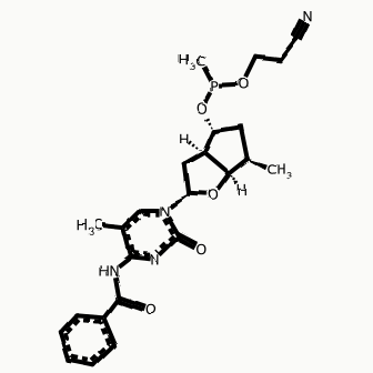 Cc1cn([C@H]2C[C@@H]3[C@H](O2)[C@H](C)C[C@H]3OP(C)OCCC#N)c(=O)nc1NC(=O)c1ccccc1